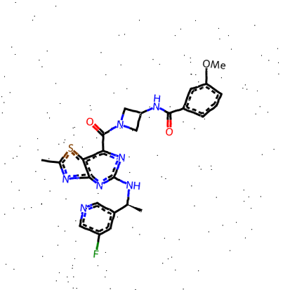 COc1cccc(C(=O)NC2CN(C(=O)c3nc(N[C@@H](C)c4cncc(F)c4)nc4nc(C)sc34)C2)c1